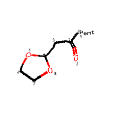 CCCC(C)C(=O)CC1OCCO1